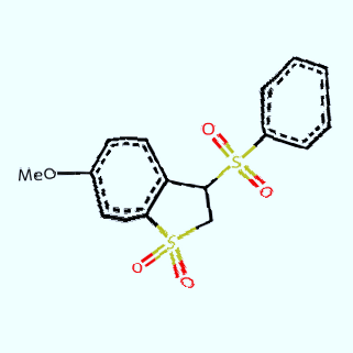 COc1ccc2c(c1)S(=O)(=O)CC2S(=O)(=O)c1ccccc1